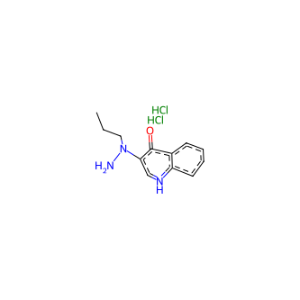 CCCN(N)c1c[nH]c2ccccc2c1=O.Cl.Cl